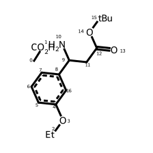 CC(=O)O.CCOc1cccc(C(N)CC(=O)OC(C)(C)C)c1